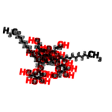 CCCCCCCCCCCCCC(CCCC(CCCCCCCCCCCCC)(CO[C@@H]1OC(CO)[C@@H](O)C(O)C1O)CO[C@H](O)/C(O)=C(\O)[C@H](O)CCO)(CO[C@@H]1OC(CO)[C@@H](O)C(O)C1O)CO[C@H](O)/C(O)=C(/O)[C@H](O)CCO